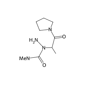 CNC(=O)N(N)C(C)C(=O)N1CCCC1